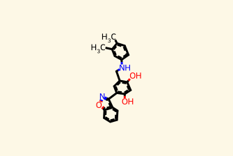 Cc1ccc(NCc2cc(-c3noc4ccccc34)c(O)cc2O)cc1C